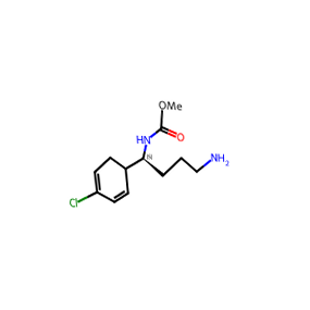 COC(=O)N[C@@H](CCCN)C1C=CC(Cl)=CC1